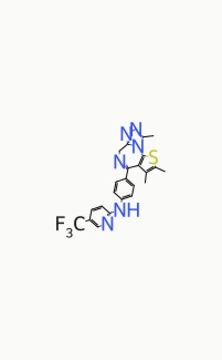 Cc1sc2c(c1C)C(c1ccc(Nc3ccc(C(F)(F)F)cn3)cc1)=NCc1nnc(C)n1-2